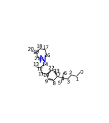 CCCCC(C)(C)c1ccc(CC(C)CN2CCCC(C)C2)cc1